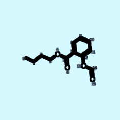 CCCCOC(=O)c1ccccc1O[C]=O